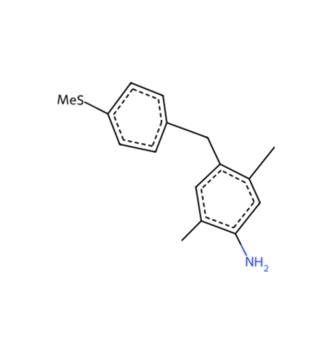 CSc1ccc(Cc2cc(C)c(N)cc2C)cc1